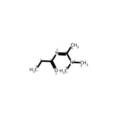 CCC(=O)N=C(C)N(C)C